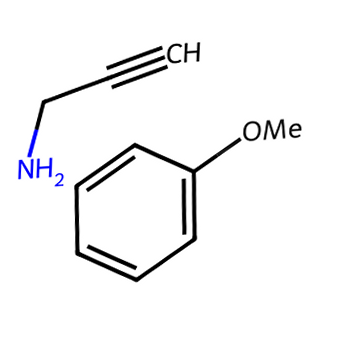 C#CCN.COc1ccccc1